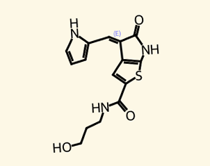 O=C1Nc2sc(C(=O)NCCCO)cc2/C1=C\c1ccc[nH]1